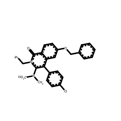 CC(C)Cn1c(N(C)C(=O)O)c(-c2ccc(Cl)cc2)c2cc(OCc3ccccc3)ccc2c1=O